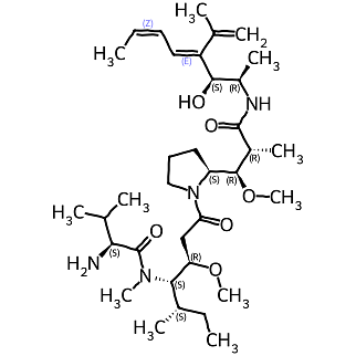 C=C(C)/C(=C\C=C/C)[C@H](O)[C@@H](C)NC(=O)[C@H](C)[C@@H](OC)[C@@H]1CCCN1C(=O)C[C@@H](OC)[C@H]([C@@H](C)CC)N(C)C(=O)[C@@H](N)C(C)C